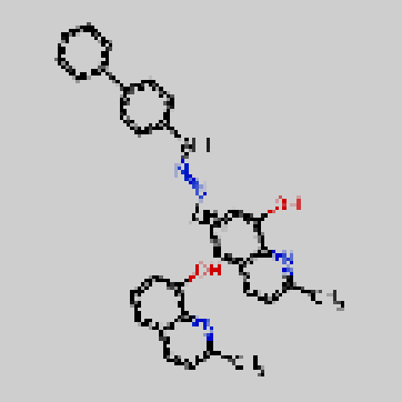 Cc1ccc2cccc(O)c2n1.Cc1ccc2cccc(O)c2n1.[AlH2][N]=[N][AlH][c]1ccc(-c2ccccc2)cc1